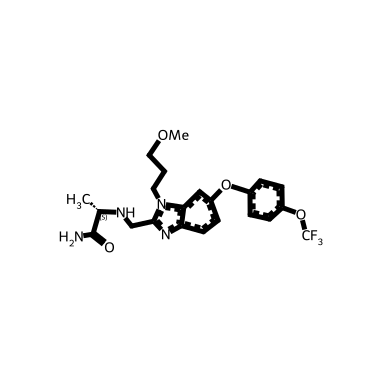 COCCCn1c(CN[C@@H](C)C(N)=O)nc2ccc(Oc3ccc(OC(F)(F)F)cc3)cc21